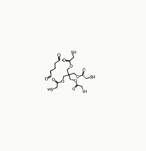 O=C(CS)OCC(COC(=O)CS)(COC(=O)CS)COC(=O)CS.O=CCCCC=O